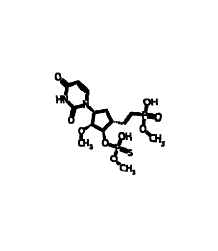 CO[C@@H]1[C@H](OP(O)(=S)OC)[C@@H](CCP(=O)(O)OC)C[C@@H]1n1ccc(=O)[nH]c1=O